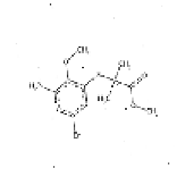 COC(=O)C(C)(C)Sc1cc(Br)cc(P)c1OC